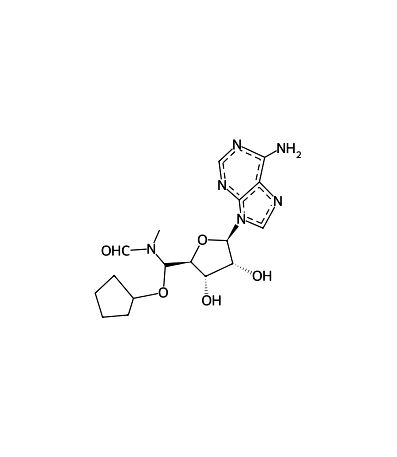 CN(C=O)C(OC1CCCC1)[C@H]1O[C@@H](n2cnc3c(N)ncnc32)[C@H](O)[C@@H]1O